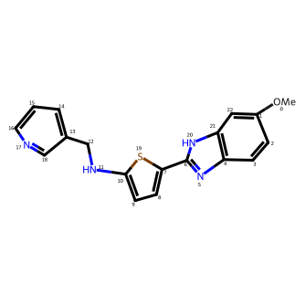 COc1ccc2nc(-c3ccc(NCc4cccnc4)s3)[nH]c2c1